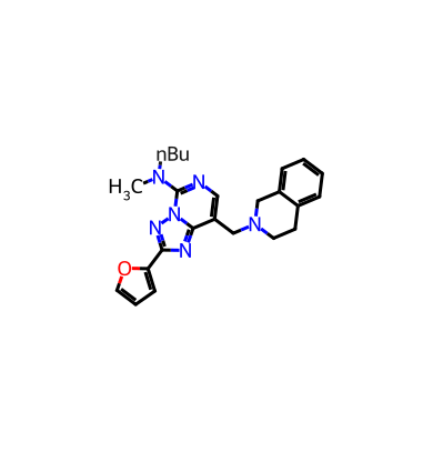 CCCCN(C)c1ncc(CN2CCc3ccccc3C2)c2nc(-c3ccco3)nn12